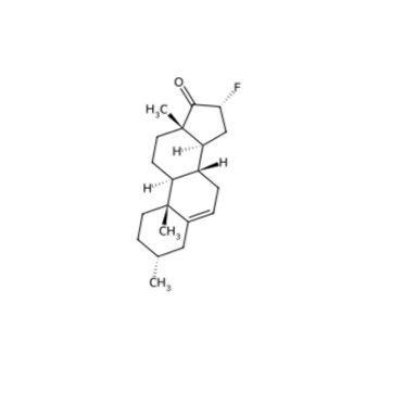 C[C@@H]1CC[C@@]2(C)C(=CC[C@@H]3[C@@H]2CC[C@]2(C)C(=O)[C@H](F)C[C@@H]32)C1